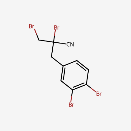 N#CC(Br)(CBr)Cc1ccc(Br)c(Br)c1